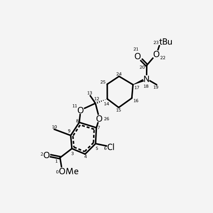 COC(=O)c1cc(Cl)c2c(c1C)OC(C)([C@H]1CC[C@H](N(C)C(=O)OC(C)(C)C)CC1)O2